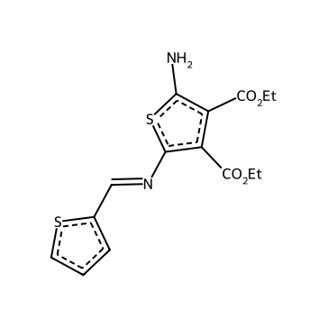 CCOC(=O)c1c(N)sc(N=Cc2cccs2)c1C(=O)OCC